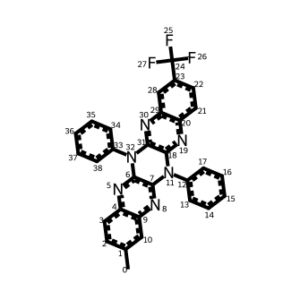 Cc1ccc2nc3c(nc2c1)N(c1ccccc1)c1nc2ccc(C(F)(F)F)cc2nc1N3c1ccccc1